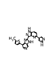 Cc1ccc(-c2cncc3[nH]c(-c4n[nH]c5ccc(-c6cn[nH]c6)nc45)nc23)s1